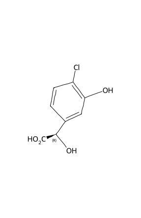 O=C(O)[C@H](O)c1ccc(Cl)c(O)c1